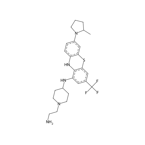 CC1CCCN1c1ccc2c(c1)Sc1cc(C(F)(F)F)cc(NC3CCN(CCN)CC3)c1N2